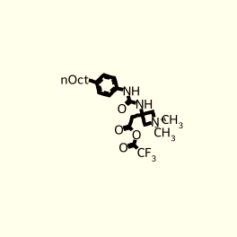 CCCCCCCCc1ccc(NC(=O)NC2(CC(=O)OC(=O)C(F)(F)F)C[N+](C)(C)C2)cc1